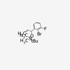 C=CC(O[Si](C)(C)C(C)(C)C)c1cccc(F)c1Br